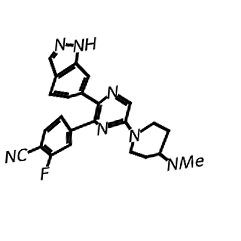 CNC1CCN(c2cnc(-c3ccc4cn[nH]c4c3)c(-c3ccc(C#N)c(F)c3)n2)CC1